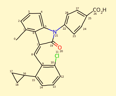 Cc1cccc2c1/C(=C/c1c(Cl)cccc1C1CC1)C(=O)N2c1ccc(C(=O)O)cc1